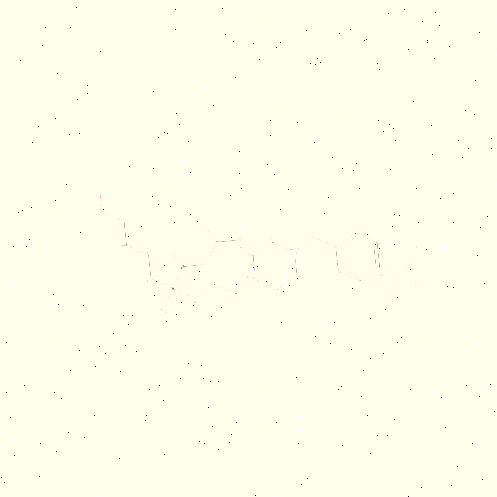 CC(C)C(C)OC(=O)C(N)(CCCCB(O)O)CCCN1CCN(Cc2ccc(S(C)(=O)=O)cc2)CC1